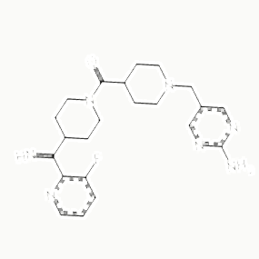 N=C(c1ncccc1F)C1CCN(C(=O)C2CCN(Cc3cnc(N)nc3)CC2)CC1